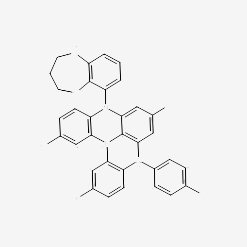 Cc1cc2c3c(c1)N(c1cccc4c1OCCCO4)c1ccc(C(C)(C)C)cc1B3c1cc(C(C)(C)C)ccc1N2c1ccc(C(C)(C)C)cc1